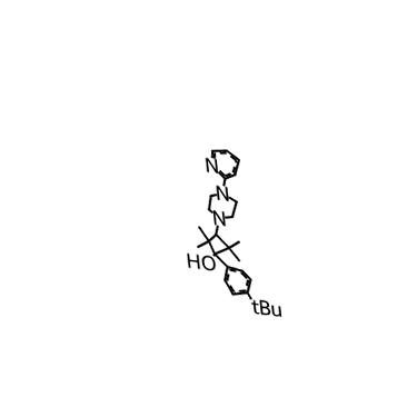 CC(C)(C)c1ccc(C2(O)C(C)(C)C(N3CCN(c4ccccn4)CC3)C2(C)C)cc1